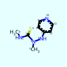 CNC(=S)N(C)Nc1ccncc1